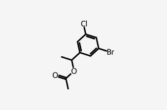 CC(=O)OC(C)c1cc(Cl)cc(Br)c1